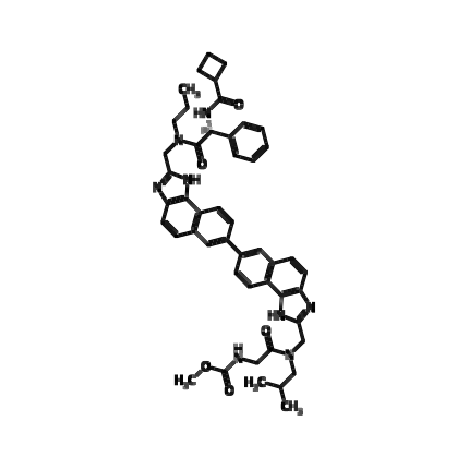 CCCN(Cc1nc2ccc3cc(-c4ccc5c(ccc6nc(CN(CC(C)C)C(=O)CNC(=O)OC)[nH]c65)c4)ccc3c2[nH]1)C(=O)[C@H](NC(=O)C1CCC1)c1ccccc1